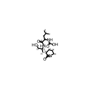 CC(C)CC(NC(=O)O)C(=O)NC(CO)C[C@@H]1CCCNC1=O